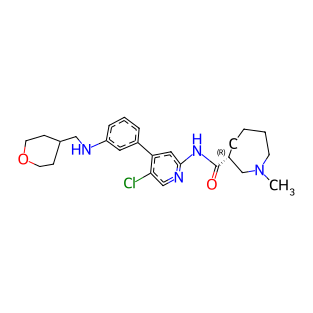 CN1CCCC[C@@H](C(=O)Nc2cc(-c3cccc(NCC4CCOCC4)c3)c(Cl)cn2)C1